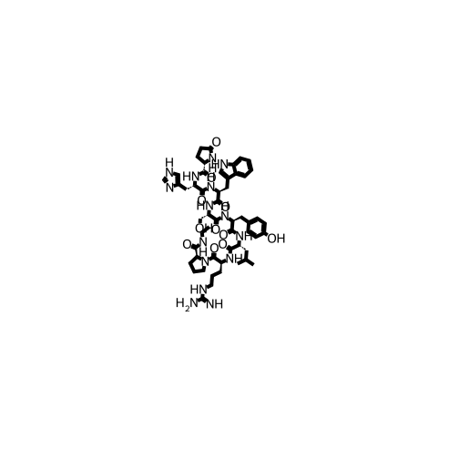 CCNC(=O)[C@@H]1CCCN1C(=O)[C@H](CCCNC(=N)N)NC(=O)[C@@H](CC(C)C)NC(=O)[C@H](Cc1ccc(O)cc1)NC(=O)[C@H](CO)NC(=O)[C@H](Cc1c[nH]c2ccccc12)NC(=O)[C@H](Cc1c[nH]cn1)NC(=O)[C@@H]1CCC(=O)N1